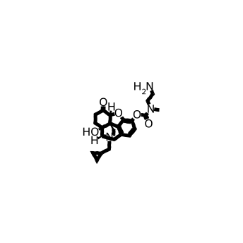 CN(CCN)C(=O)Oc1ccc2c3c1O[C@H]1C(=O)CC[C@@]4(O)[C@@H](C2)N(CC2CC2)CC[C@]314